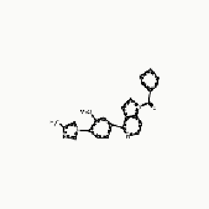 COc1cc(-c2nccc3c2ccn3C(=O)c2ccccc2)ccc1-n1cnc(C)c1